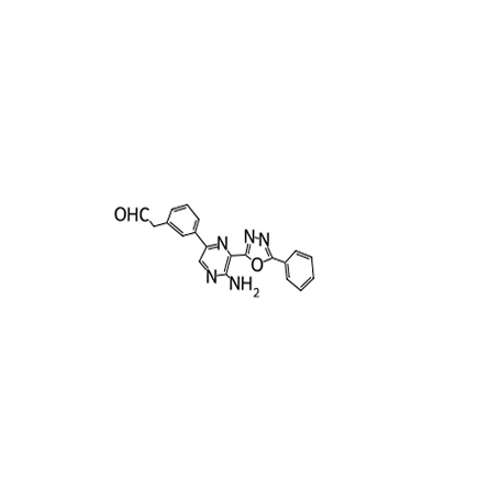 Nc1ncc(-c2cccc(CC=O)c2)nc1-c1nnc(-c2ccccc2)o1